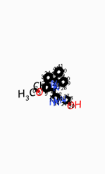 CC(C)Oc1ccc2c(c1)c(-c1cnnc(N3CCC(O)C3)c1)nn2C(c1ccccc1)(c1ccccc1)c1ccccc1